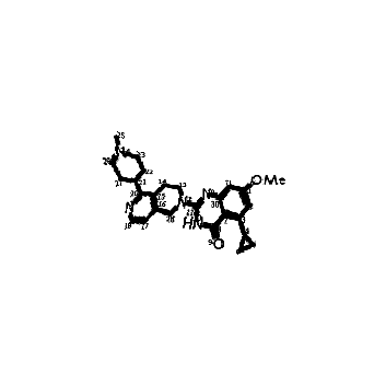 COc1cc(C2CC2)c2c(=O)[nH]c(N3CCc4c(ccnc4C4CCN(C)CC4)C3)nc2c1